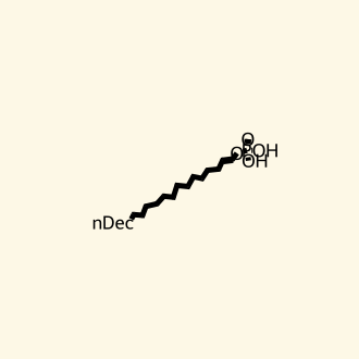 CCCCCCCCCCCCCCCCCCCCCC/C=C/OP(=O)(O)O